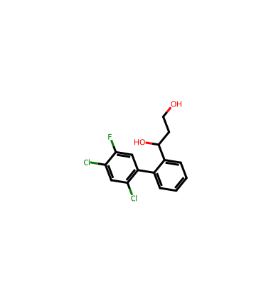 OCCC(O)c1ccccc1-c1cc(F)c(Cl)cc1Cl